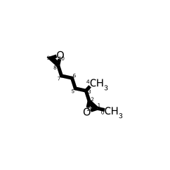 CC1=C(C(C)CCCC2=CO2)O1